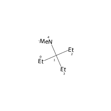 CCC(CC)(CC)[N]C